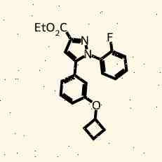 CCOC(=O)c1cc(-c2cccc(OC3CCC3)c2)n(-c2ccccc2F)n1